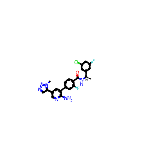 C[C@@H](NC(=O)c1ccc(-c2cc(-c3cnnn3C)cnc2N)cc1F)c1cc(F)cc(Cl)c1